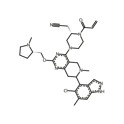 C=CC(=O)N1CCN(c2nc(OC[C@@H]3CCCN3C)nc3c2CN(C)C(c2c(Cl)c(C)cc4[nH]ncc24)C3)C[C@@H]1CC#N